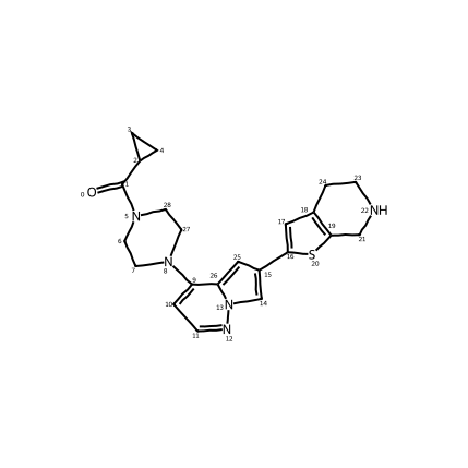 O=C(C1CC1)N1CCN(c2ccnn3cc(-c4cc5c(s4)CNCC5)cc23)CC1